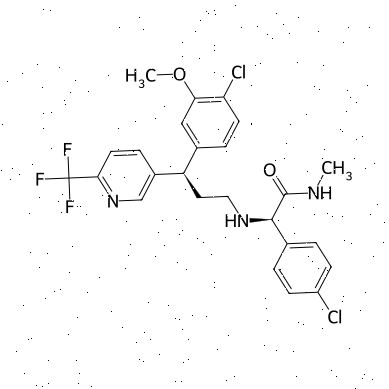 CNC(=O)[C@H](NCC[C@@H](c1ccc(C(F)(F)F)nc1)c1ccc(Cl)c(OC)c1)c1ccc(Cl)cc1